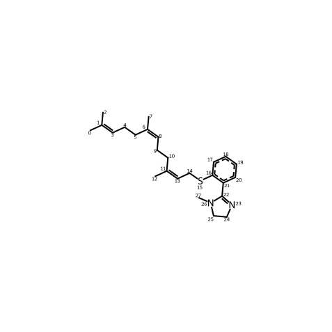 CC(C)=CCCC(C)=CCCC(C)=CCSc1ccccc1C1=NCCN1C